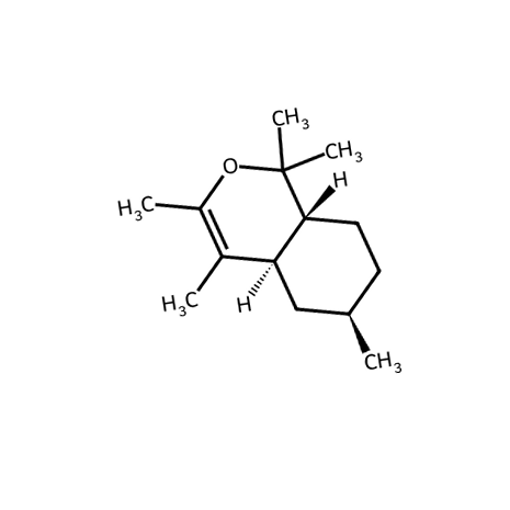 CC1=C(C)[C@@H]2C[C@H](C)CC[C@H]2C(C)(C)O1